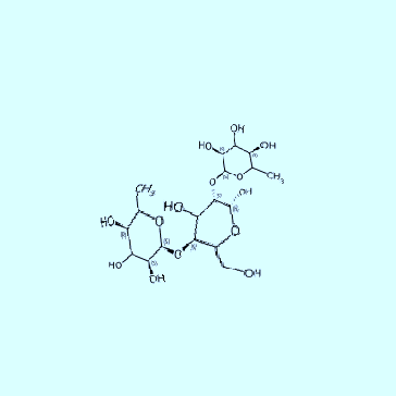 CC1O[C@@H](O[C@@H]2C(CO)O[C@@H](O)[C@@H](O[C@@H]3OC(C)[C@H](O)C(O)[C@@H]3O)C2O)[C@@H](O)C(O)[C@H]1O